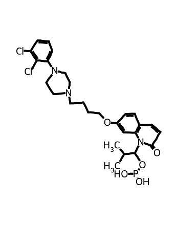 CC(C)C(OP(O)O)n1c(=O)ccc2ccc(OCCCCN3CCN(c4cccc(Cl)c4Cl)CC3)cc21